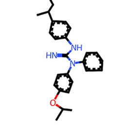 CCC(C)c1ccc(NC(=N)N(c2ccccc2)c2ccc(OC(C)C)cc2)cc1